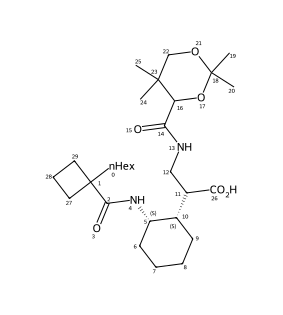 CCCCCCC1(C(=O)N[C@H]2CCCC[C@H]2C(CNC(=O)C2OC(C)(C)OCC2(C)C)C(=O)O)CCC1